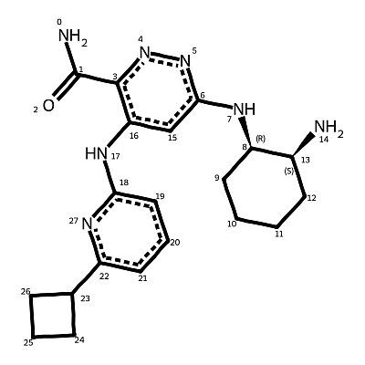 NC(=O)c1nnc(N[C@@H]2CCCC[C@@H]2N)cc1Nc1cccc(C2CCC2)n1